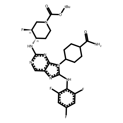 CC(C)(C)OC(=O)N1CC[C@H](Nc2ncc3nc(Nc4c(F)cc(F)cc4F)n(C4CCC(C(N)=O)CC4)c3n2)[C@@H](F)C1